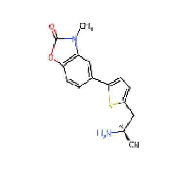 Cn1c(=O)oc2ccc(-c3ccc(C[C@H](N)C#N)s3)cc21